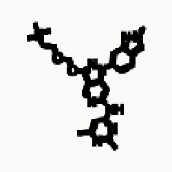 Cc1cc(Nc2cc3c(cn2)c(OCOCC[Si](C)(C)C)nn3-c2ccc3cn(C)nc3c2)nc(C)n1